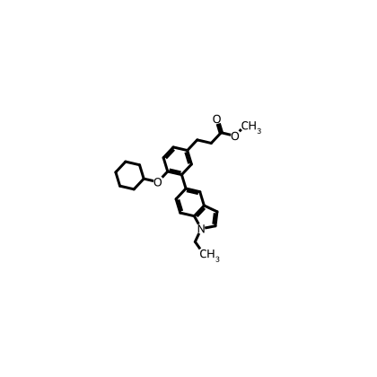 CCn1ccc2cc(-c3cc(CCC(=O)OC)ccc3OC3CCCCC3)ccc21